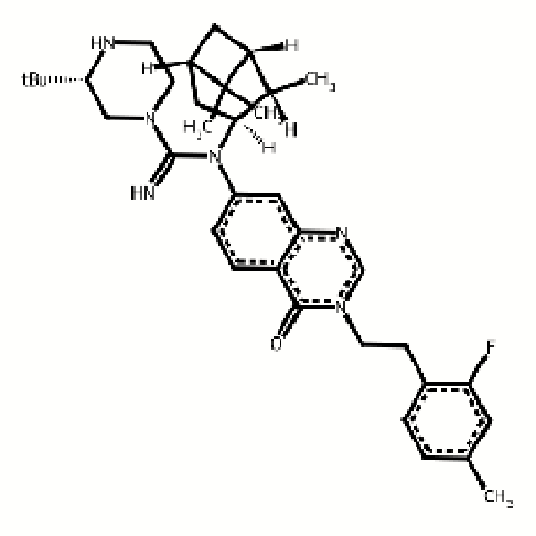 Cc1ccc(CCn2cnc3cc(N(C(=N)N4CCN[C@@H](C(C)(C)C)C4)[C@H]4C[C@@H]5C[C@H]([C@@H]4C)C5(C)C)ccc3c2=O)c(F)c1